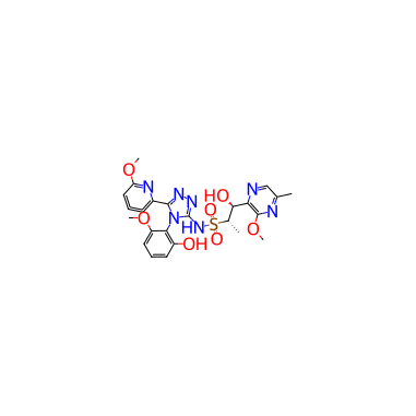 COC1=NC(c2nnc(NS(=O)(=O)[C@@H](C)[C@@H](O)c3ncc(C)nc3OC)n2-c2c(O)cccc2OC)=C=C=C1